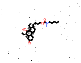 CCCCCNC(=O)OCC[C@@H](C)[C@H]1CC[C@H]2[C@@H]3[C@H](O)[C@H](CC)[C@@H]4C[C@H](O)CC[C@]4(C)[C@H]3CC[C@]12C